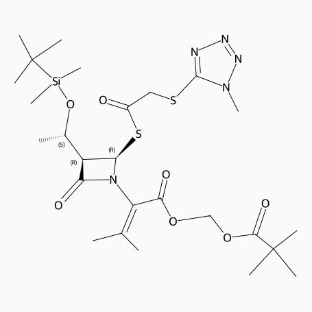 CC(C)=C(C(=O)OCOC(=O)C(C)(C)C)N1C(=O)[C@@H]([C@H](C)O[Si](C)(C)C(C)(C)C)[C@H]1SC(=O)CSc1nnnn1C